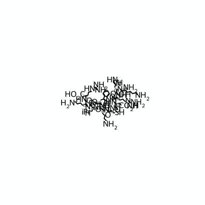 CC(C)C[C@H](NC(=O)[C@H](Cc1c[nH]c2ccccc12)NC(=O)[C@H](CCCCN)NC(=O)[C@H](CS)NC(=O)[C@H](CC(=O)O)NC(=O)[C@H](CCCNC(=N)N)NC(=O)[C@H](Cc1c[nH]cn1)NC(=O)[C@@H](N)CCCCN)C(=O)N[C@@H](CCCCN)C(=O)N[C@@H](CCCNC(=N)N)C(=O)O